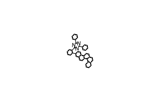 c1ccc(-c2nc(-c3ccccc3)nc(-c3ccccc3-c3ccc4c(ccc5c4ccc4ccc6ccccc6c45)c3)n2)cc1